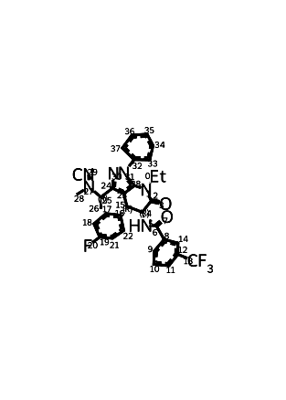 CCN1C(=O)[C@H](NC(=O)c2cccc(C(F)(F)F)c2)[C@H](c2ccc(F)cc2)c2c([C@@H](C)N(C)C#N)nn(-c3ccccc3)c21